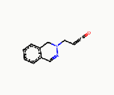 O=C=CCN1Cc2ccccc2C=N1